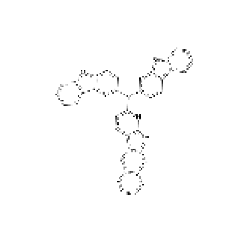 c1ccc2cc3c(cc2c1)oc1nc(N(c2ccc4c(c2)sc2ccccc24)c2ccc4oc5ccccc5c4c2)ccc13